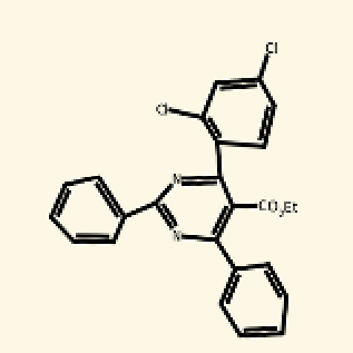 CCOC(=O)c1c(-c2ccccc2)nc(-c2ccccc2)nc1-c1ccc(Cl)cc1Cl